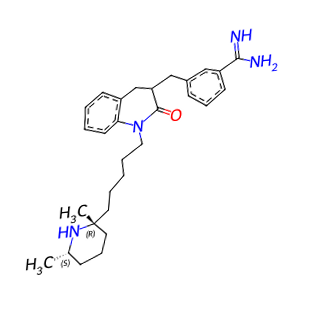 C[C@H]1CCC[C@@](C)(CCCCCN2C(=O)C(Cc3cccc(C(=N)N)c3)Cc3ccccc32)N1